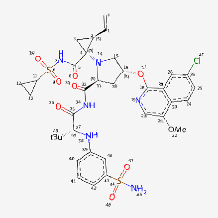 C=C[C@@H]1C[C@@]1(C(=O)NS(=O)(=O)C1CC1)N1C[C@H](Oc2ncc(OC)c3ccc(Cl)cc23)C[C@H]1C(=O)NC(=O)[C@H](Nc1cccc(S(N)(=O)=O)c1)C(C)(C)C